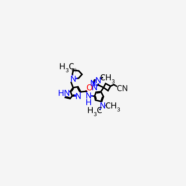 C[C@H]1CCCN(Cc2cc(C(=O)Nc3cc(N(C)C)cc(C4(c5nncn5C)CC(CC#N)C4)c3)nc3cc[nH]c23)C1